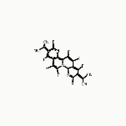 N#CC(C#N)=C1C(F)=NC2C(=C1F)C(F)=C(F)C1=c3nc(F)c(=C(C#N)C#N)c(F)c3C(F)=C(F)N12